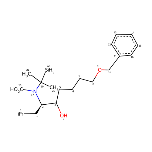 CC(C)C[C@H](C(O)CCCCOCc1ccccc1)N(C(=O)O)C(C)(C)[SiH3]